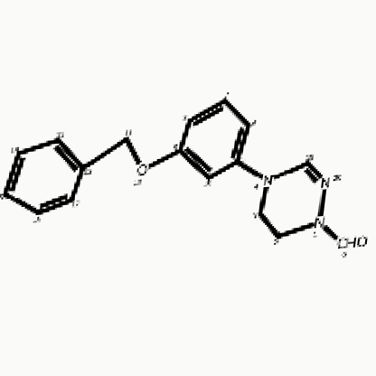 O=CN1CCN(c2cccc(OCc3ccccc3)c2)C=N1